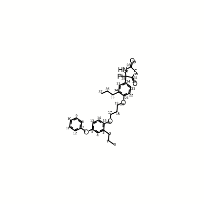 CCCc1cc(Oc2ccccc2)ccc1OCCCOc1ccc(C2(F)NC(=O)SC2=O)cc1CCC